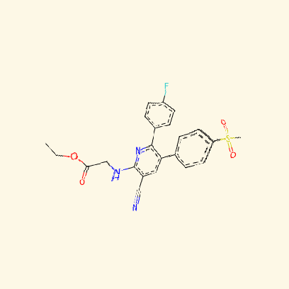 CCOC(=O)CNc1nc(-c2ccc(F)cc2)c(-c2ccc(S(C)(=O)=O)cc2)cc1C#N